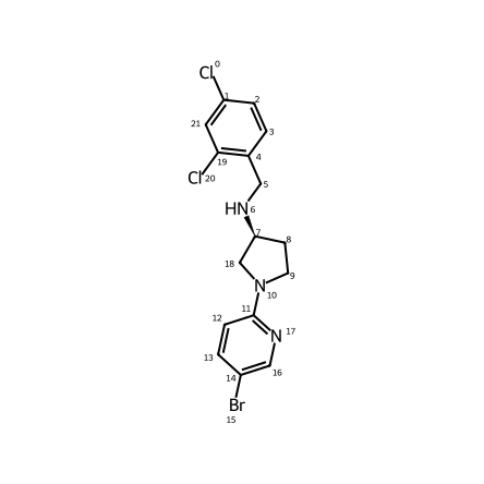 Clc1ccc(CN[C@H]2CCN(c3ccc(Br)cn3)C2)c(Cl)c1